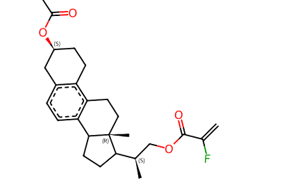 C=C(F)C(=O)OC[C@@H](C)C1CCC2c3ccc4c(c3CC[C@@]21C)CC[C@H](OC(C)=O)C4